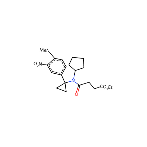 CCOC(=O)CCC(=O)N(C1CCCC1)C1(c2ccc(NC)c([N+](=O)[O-])c2)CC1